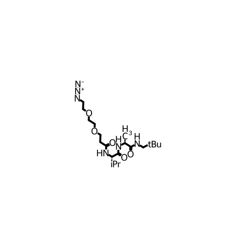 CC(C)[C@H](NC(=O)CCOCCOCCN=[N+]=[N-])C(=O)N[C@@H](C)C(=O)NCC(C)(C)C